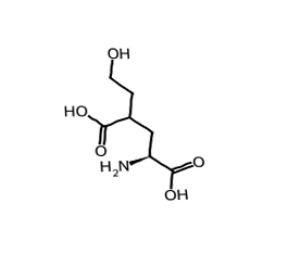 N[C@@H](CC(CCO)C(=O)O)C(=O)O